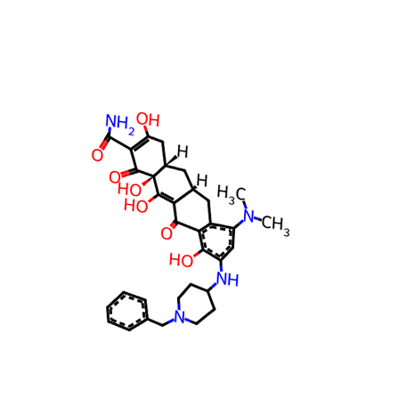 CN(C)c1cc(NC2CCN(Cc3ccccc3)CC2)c(O)c2c1C[C@H]1C[C@H]3CC(O)=C(C(N)=O)C(=O)[C@@]3(O)C(O)=C1C2=O